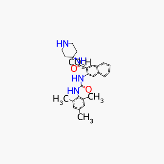 Cc1cc(C)c(NC(=O)Nc2cc3ccccc3cc2C(=O)NC2(C(=O)O)CCNCC2)c(C)c1